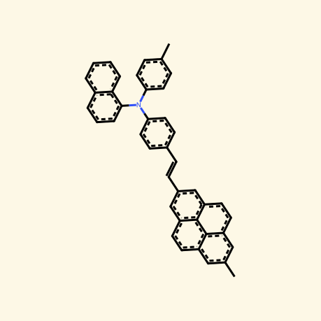 Cc1ccc(N(c2ccc(C=Cc3cc4ccc5cc(C)cc6ccc(c3)c4c56)cc2)c2cccc3ccccc23)cc1